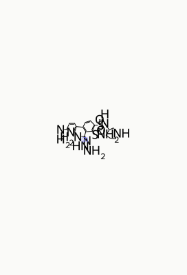 NN/N=C(\N)c1c(-c2ccc(N)nc2)ccc(S(=O)(=O)NC2CCCNC2)c1SN